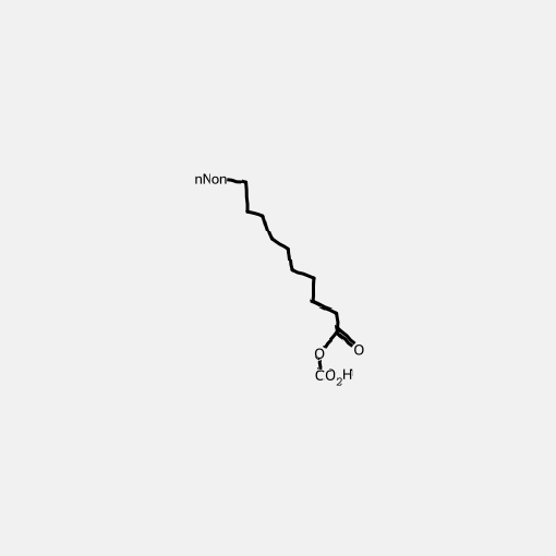 CCCCCCCCCCCCCCCCCCC(=O)OC(=O)O